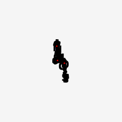 Cc1ccc(/N=N/c2ccc3c(c2)CN2c4ccc(OC(=O)CCCCC5CCSS5)cc4C(C)(C)C2(c2ccccc2)O3)cc1